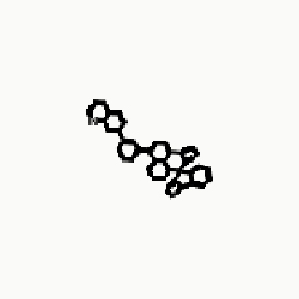 c1cc(-c2ccc3cccnc3c2)cc(-c2ccc3c4c(cccc24)C2(c4ccccc4-c4ccccc42)c2ccccc2-3)c1